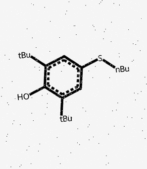 CCCCSc1cc(C(C)(C)C)c(O)c(C(C)(C)C)c1